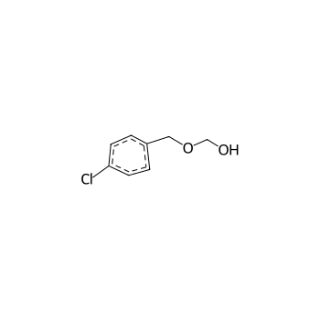 OCOCc1ccc(Cl)cc1